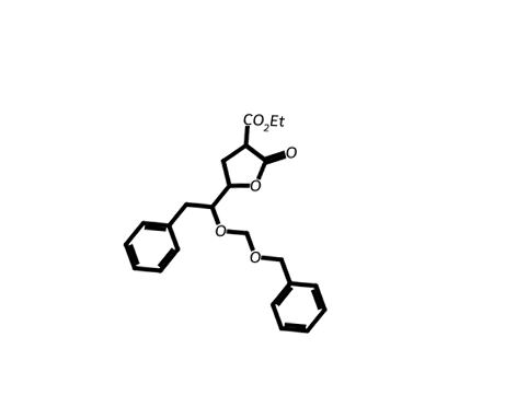 CCOC(=O)C1CC(C(Cc2ccccc2)OCOCc2ccccc2)OC1=O